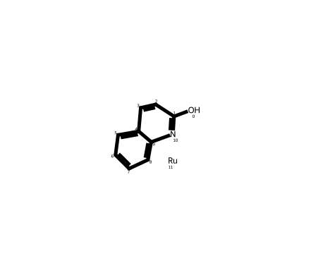 Oc1ccc2ccccc2n1.[Ru]